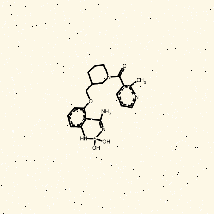 Cc1ncccc1C(=O)N1CCCC(COc2cccc3c2C(N)=NS(O)(O)N3)C1